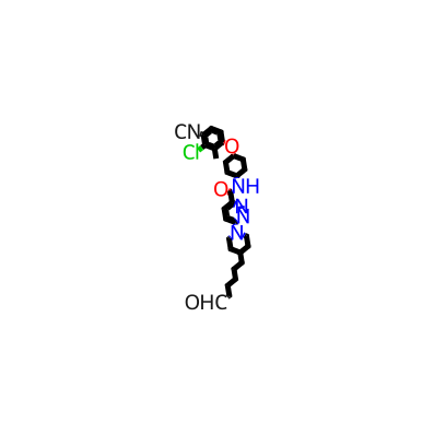 [C-]#[N+]c1ccc(OC2CCC(NC(=O)c3ccc(N4CCC(CCCCCC=O)CC4)nn3)CC2)c(C)c1Cl